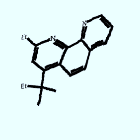 CCc1cc(C(C)(C)CC)c2ccc3cccnc3c2n1